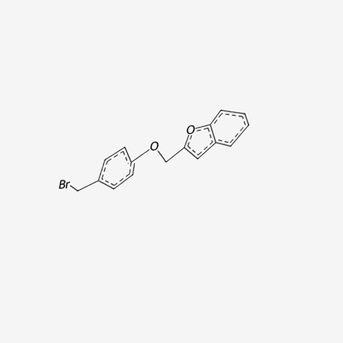 BrCc1ccc(OCc2cc3ccccc3o2)cc1